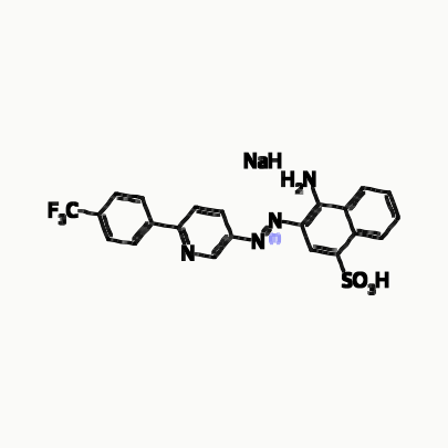 Nc1c(/N=N/c2ccc(-c3ccc(C(F)(F)F)cc3)nc2)cc(S(=O)(=O)O)c2ccccc12.[NaH]